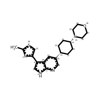 Cc1nc(-c2c[nH]c3ncc([C@H]4CC[C@@H](N5CCOCC5)CC4)cc23)cs1